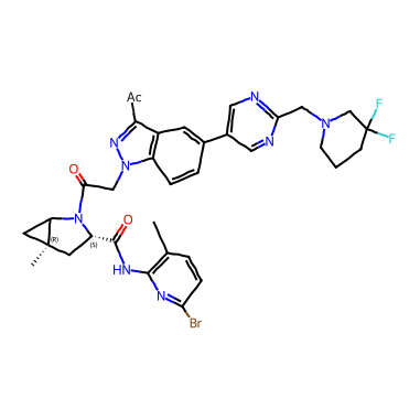 CC(=O)c1nn(CC(=O)N2C3C[C@]3(C)C[C@H]2C(=O)Nc2nc(Br)ccc2C)c2ccc(-c3cnc(CN4CCCC(F)(F)C4)nc3)cc12